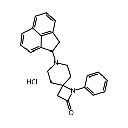 Cl.O=C1CC2(CCN(C3Cc4cccc5cccc3c45)CC2)N1c1ccccc1